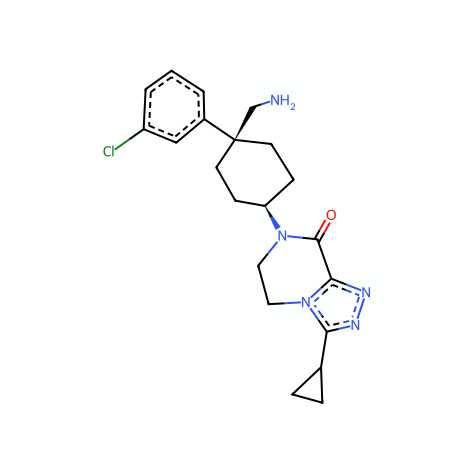 NC[C@]1(c2cccc(Cl)c2)CC[C@H](N2CCn3c(nnc3C3CC3)C2=O)CC1